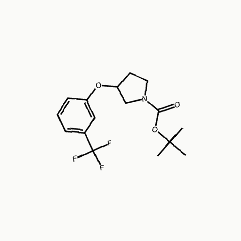 CC(C)(C)OC(=O)N1CCC(Oc2cccc(C(F)(F)F)c2)C1